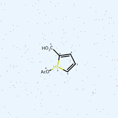 CC(=O)O[SH]1C=CC=C1C(=O)O